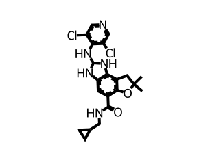 CC1(C)Cc2c3c(cc(C(=O)NCC4CC4)c2O1)NC(Nc1c(Cl)cncc1Cl)N3